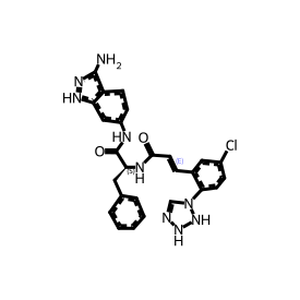 Nc1n[nH]c2cc(NC(=O)[C@H](Cc3ccccc3)NC(=O)/C=C/c3cc(Cl)ccc3N3C=NNN3)ccc12